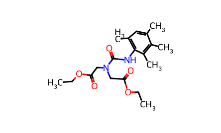 CCOC(=O)CN(CC(=O)OCC)C(=O)Nc1c(C)cc(C)c(C)c1C